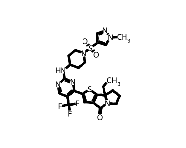 CCC12CCCN1C(=O)c1cc(-c3nc(NC4CCN(S(=O)(=O)c5cnn(C)c5)CC4)ncc3C(F)(F)F)sc12